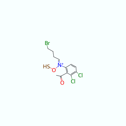 CC(=O)c1c([N+](=CCCCBr)OS)ccc(Cl)c1Cl